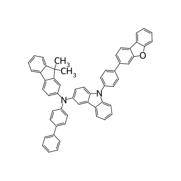 CC1(C)c2ccccc2-c2ccc(N(c3ccc(-c4ccccc4)cc3)c3ccc4c(c3)c3ccccc3n4-c3ccc(-c4ccc5c(c4)oc4ccccc45)cc3)cc21